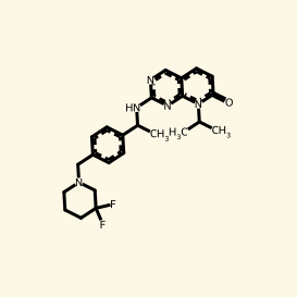 CC(Nc1ncc2ccc(=O)n(C(C)C)c2n1)c1ccc(CN2CCCC(F)(F)C2)cc1